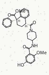 COC(=O)[C@]1(c2ccccc2)CC[C@@H](C(=O)N2CCC(NC(=O)c3cc(O)ccc3OC)CC2)c2ccccc21